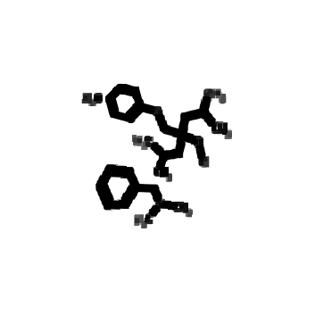 CC(C)CC(COc1ccccc1)(CC(C)C)OCl.CN(C)Cc1ccccc1.O